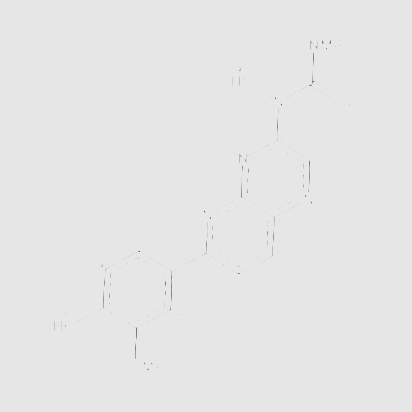 CNC(=O)N(S)c1cnc2ccc(-c3ccc(O)c(OC)c3)nc2n1